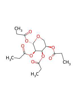 CCC(=O)O[C@@H]1OC[C@@H](OC(=O)CC)[C@@H](OC(=O)CC)[C@H]1OC(=O)CC